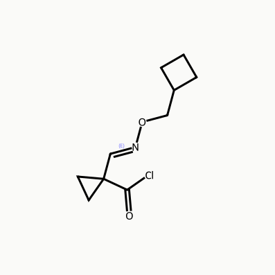 O=C(Cl)C1(/C=N/OCC2CCC2)CC1